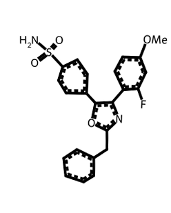 COc1ccc(-c2nc(Cc3ccccc3)oc2-c2ccc(S(N)(=O)=O)cc2)c(F)c1